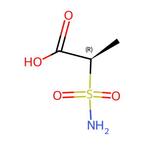 C[C@H](C(=O)O)S(N)(=O)=O